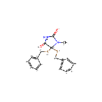 CN1C(=O)NC(=O)C1(SCc1ccccc1)SCc1ccccc1